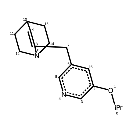 CC(C)Oc1cncc(CC2=CC3CCN2CC3)c1